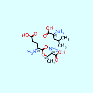 CC(C)C[C@H](N)C(=O)O.C[C@@H](OC(=O)[C@@H](N)CCC(=O)O)[C@H](N)C(=O)O